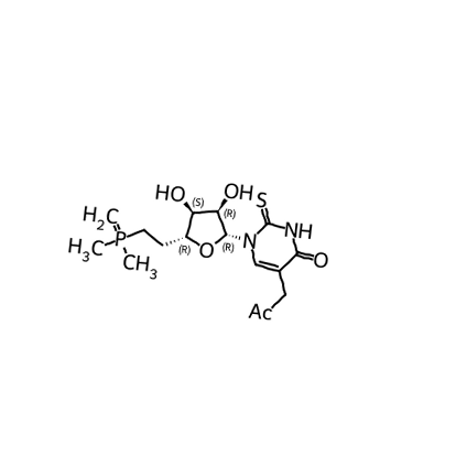 C=P(C)(C)CC[C@H]1O[C@@H](n2cc(CC(C)=O)c(=O)[nH]c2=S)[C@H](O)[C@@H]1O